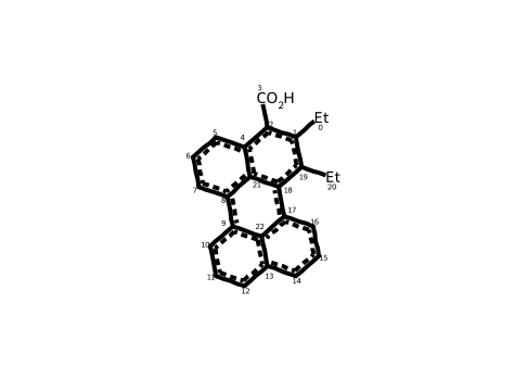 CCc1c(C(=O)O)c2cccc3c4cccc5cccc(c(c1CC)c23)c54